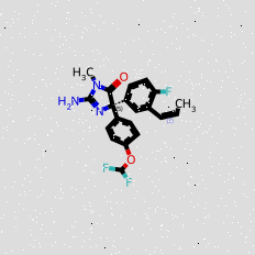 C/C=C\c1cc([C@]2(c3ccc(OC(F)F)cc3)N=C(N)N(C)C2=O)ccc1F